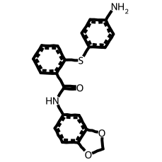 Nc1ccc(Sc2ccccc2C(=O)Nc2ccc3c(c2)OCO3)cc1